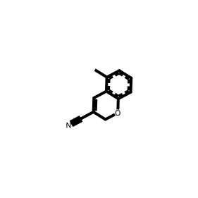 Cc1cccc2c1C=C(C#N)CO2